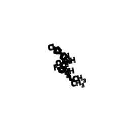 CC(C)CCSNc1ccc(F)c(C(=O)c2c[nH]c3ncc(-c4ccc(Cl)cc4)cc23)c1F